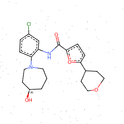 O=C(Nc1cc(Cl)ccc1N1CCC[C@@H](O)CC1)c1ccc(C2CCOCC2)o1